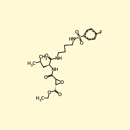 CCOC(=O)[C@H]1OC1C(=O)N[C@@H](CC(C)C)C(=O)NCCCCNS(=O)(=O)c1ccc(F)cc1